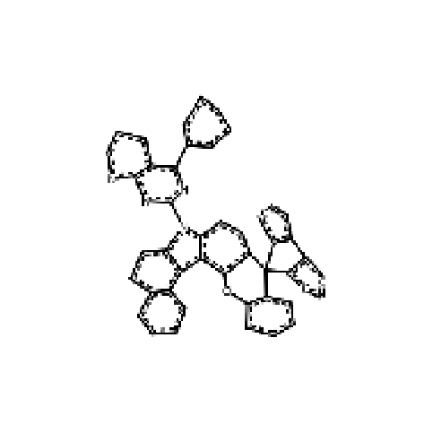 c1ccc(-c2nc(-n3c4ccc5c(c4c4c6ccccc6ccc43)Oc3ccccc3C53c4ccccc4-c4ccccc43)nc3ncccc23)cc1